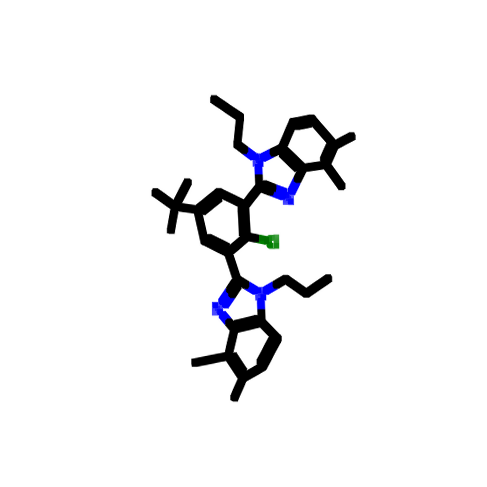 CCCn1c(-c2cc(C(C)(C)C)cc(-c3nc4c(C)c(C)ccc4n3CCC)c2Cl)nc2c(C)c(C)ccc21